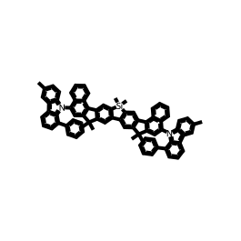 Cc1ccc2c(c1)c1cccc(-c3ccccc3)c1n2-c1cc2c(c3ccccc13)-c1cc3c(cc1C2(C)C)-c1cc2c(cc1[Si]3(C)C)-c1c(cc(-n3c4ccc(C)cc4c4cccc(-c5ccccc5)c43)c3ccccc13)C2(C)C